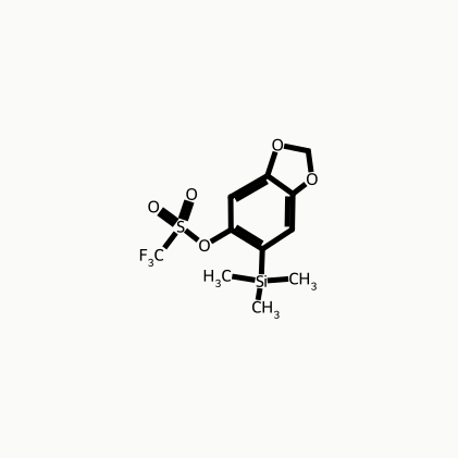 C[Si](C)(C)c1cc2c(cc1OS(=O)(=O)C(F)(F)F)OCO2